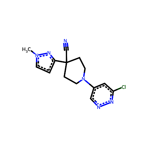 Cn1ccc(C2(C#N)CCN(c3cnnc(Cl)c3)CC2)n1